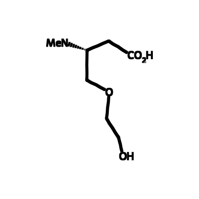 CN[C@@H](COCCO)CC(=O)O